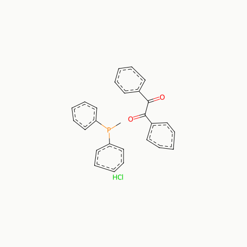 CP(c1ccccc1)c1ccccc1.Cl.O=C(C(=O)c1ccccc1)c1ccccc1